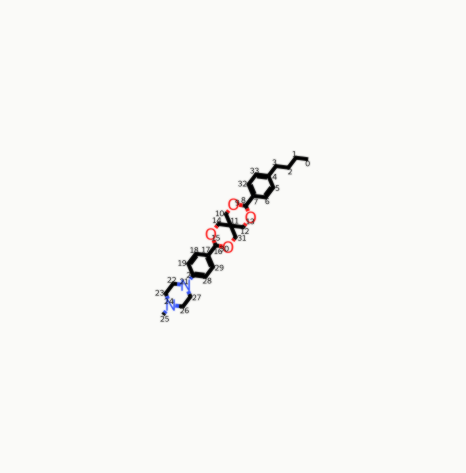 CCCCc1ccc(C2OCC3(CO2)COC(c2ccc(N4CCN(C)CC4)cc2)OC3)cc1